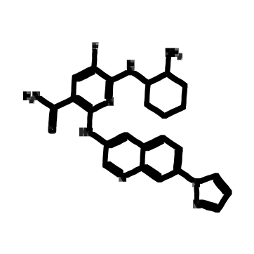 NC(=O)c1cc(F)c(NC2CCCCC2N)nc1Nc1cnc2cc(-n3cccn3)ccc2c1